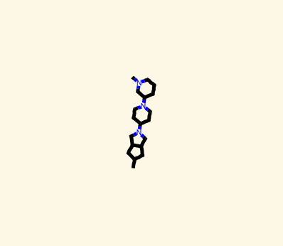 CC1CC2CN(C3CCN(C4CCCN(C)C4)CC3)CC2C1